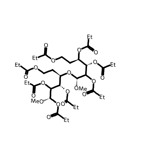 CCC(=O)OCC[C@@H](OC(=O)CC)[C@H](OC(=O)CC)C(OC(=O)CC)[C@H](OC)O[C@H](CCOC(=O)CC)[C@H](OC(=O)CC)C(OC(=O)CC)[C@@H](OC)OC(=O)CC